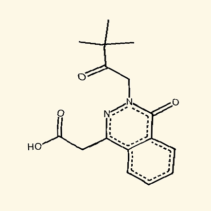 CC(C)(C)C(=O)Cn1nc(CC(=O)O)c2ccccc2c1=O